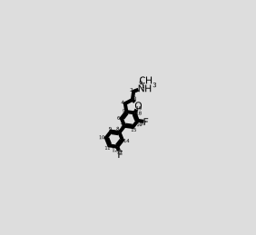 CNCC1Cc2cc(-c3cccc(F)c3)cc(F)c2O1